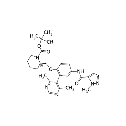 Cc1ncnc(C)c1-c1cc(NC(=O)c2ccnn2C)ccc1OC[C@H]1CCCCN1C(=O)OC(C)(C)C